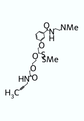 CC#CCNC(=O)COCCOC(COc1cccc(C(=O)NCCNC)c1)SSC